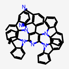 C=C/C=c1\c(=C/C)c2ccccc2n1-c1c(-n2c3ccccc3c3ccccc32)nc(-n2c3ccccc3c3ccccc32)c(-n2c3ccccc3c3ccccc32)c1-c1cccc(C#N)c1C#N